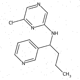 CCCC(Nc1cncc(Cl)n1)c1cccnc1